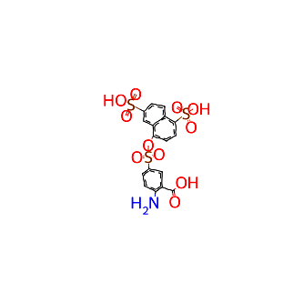 Nc1ccc(S(=O)(=O)Oc2ccc(S(=O)(=O)O)c3ccc(S(=O)(=O)O)cc23)cc1C(=O)O